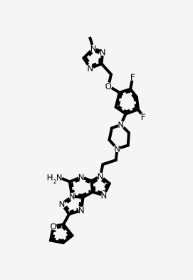 Cn1cnc(COc2cc(N3CCN(CCn4cnc5c4nc(N)n4nc(-c6ccco6)nc54)CC3)c(F)cc2F)n1